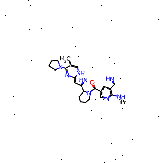 CC1=CN/C(=C\C(=N)C2CCCCN2C(=O)c2cnc(NC(C)C)c(C=N)c2)N=C1N1CCCC1